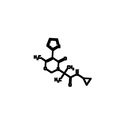 CC1=C(c2cccs2)C(=O)N(C(C)(C)C(=O)NC2CC2)CO1